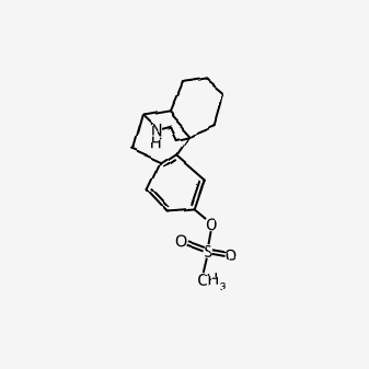 CS(=O)(=O)Oc1ccc2c(c1)C13CCCCC1C(C2)NCC3